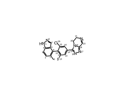 Cc1ccc2[nH]ncc2c1-c1c(F)cc(-c2nnc3n2CCN=C3)cc1Cl